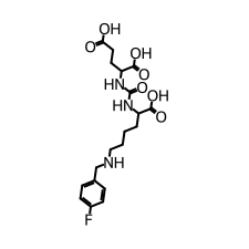 O=C(O)CCC(NC(=O)NC(CCCCNCc1ccc(F)cc1)C(=O)O)C(=O)O